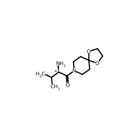 CC(C)[C@@H](N)C(=O)N1CCC2(CC1)OCCO2